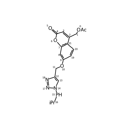 CC(=O)OCc1cc(=O)oc2cc(OCc3cn(PC(C)C)nn3)ccc12